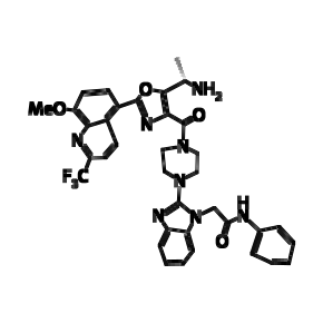 COc1ccc(-c2nc(C(=O)N3CCN(c4nc5ccccc5n4CC(=O)Nc4ccccc4)CC3)c([C@H](C)N)o2)c2ccc(C(F)(F)F)nc12